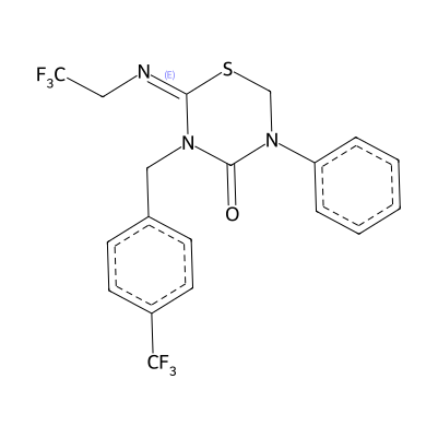 O=C1N(Cc2ccc(C(F)(F)F)cc2)/C(=N\CC(F)(F)F)SCN1c1ccccc1